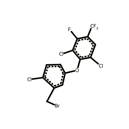 Fc1c(C(F)(F)F)cc(Cl)c(Oc2ccc(Cl)c(CBr)c2)c1Cl